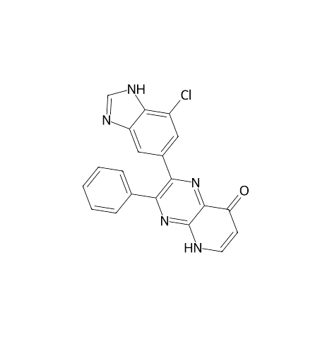 O=c1cc[nH]c2nc(-c3ccccc3)c(-c3cc(Cl)c4[nH]cnc4c3)nc12